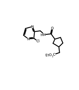 CCOC(=O)CC1CCC(C(=O)NCc2nccnc2Cl)C1